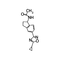 CC(=O)NC1CCc2cc(-c3noc(C4CC4)n3)ccc21